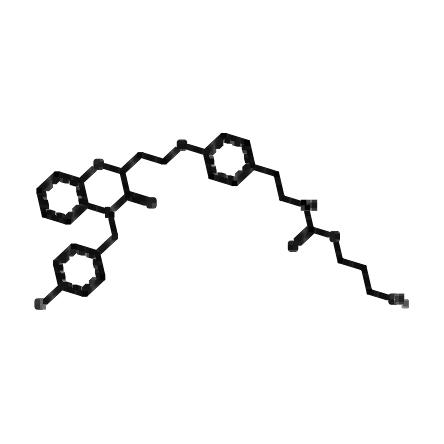 CCCCOC(=O)NCCc1ccc(OCCC2Oc3ccccc3N(Cc3ccc(Cl)cc3)C2=O)cc1